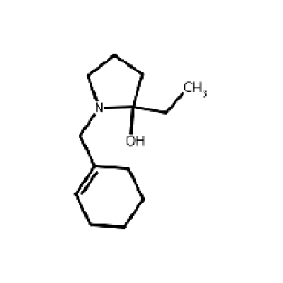 CCC1(O)CCCN1CC1=CCCCC1